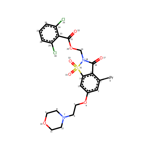 CC(C)c1cc(OCCN2CCOCC2)cc2c1C(=O)N(COC(=O)c1c(Cl)cccc1Cl)S2(=O)=O